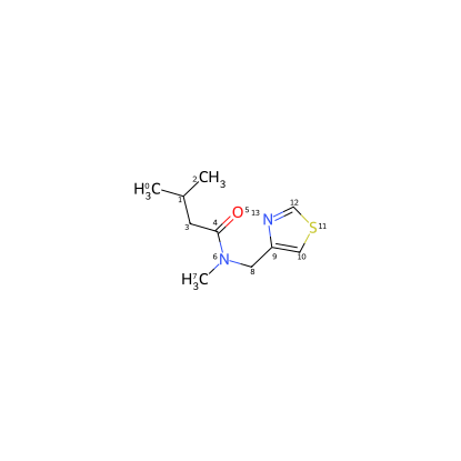 CC(C)CC(=O)N(C)Cc1cscn1